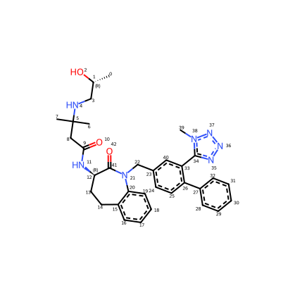 C[C@@H](O)CNC(C)(C)CC(=O)N[C@@H]1CCc2ccccc2N(Cc2ccc(-c3ccccc3)c(-c3nnnn3C)c2)C1=O